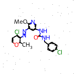 COc1ncc(NC(=O)NCc2ccc(Cl)cc2)cc1N=NC1=C(Cl)C=COC1C